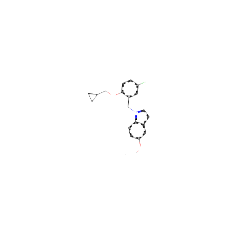 O=C(O)Oc1ccc2c(ccn2Cc2cc(Cl)ccc2OCC2CC2)c1